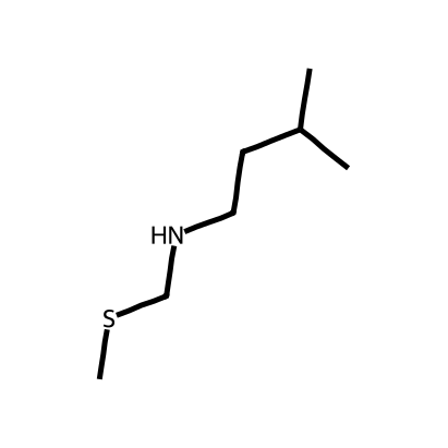 CSCNCCC(C)C